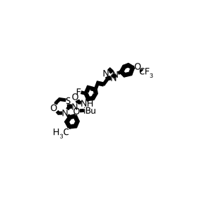 CCC(C)Oc1ccc(C)cc1N1COCCS/C1=N\C(=O)Nc1ccc(/C=C/c2ncn(-c3ccc(OC(F)(F)F)cc3)n2)cc1F